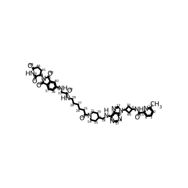 Cc1cccc(C(=O)NC2CC(n3cnc4c(NCC5CCN(C(=O)CCCCCNC(=O)CNc6ccc7c(c6)C(=O)N([C@@H]6CCC(=O)NC6=O)C7=O)CC5)ncnc43)C2)n1